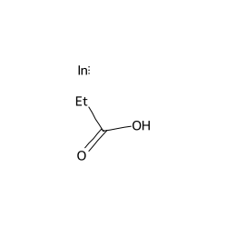 CCC(=O)O.[In]